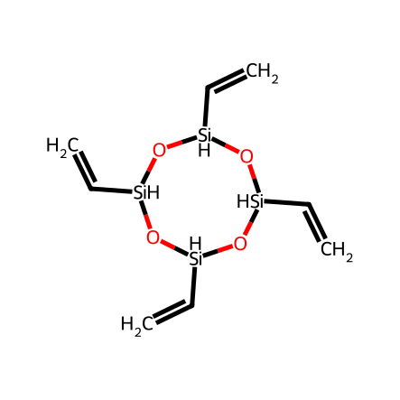 C=C[SiH]1O[SiH](C=C)O[SiH](C=C)O[SiH](C=C)O1